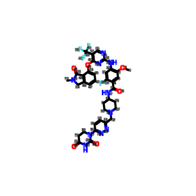 COc1cc(C(=O)NC2CCN(Cc3ccc(N4CCC(=O)NC4=O)nn3)CC2)c(F)cc1Nc1ncc(C(F)(F)F)c(Oc2cccc3c2C(=O)N(C)C3)n1